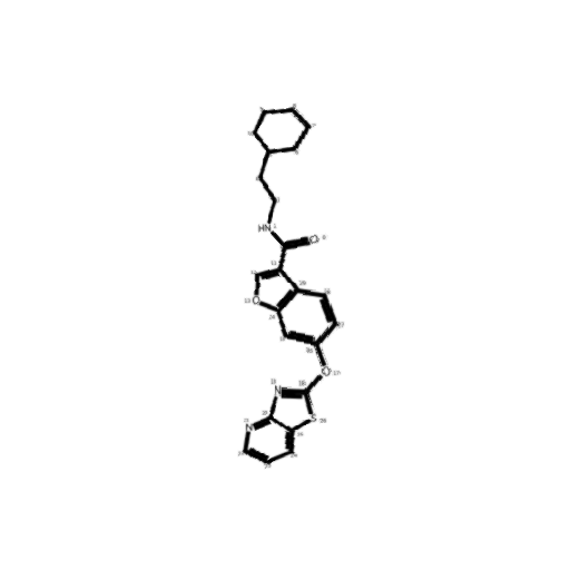 O=C(NCCC1CCCCC1)c1coc2cc(Oc3nc4ncccc4s3)ccc12